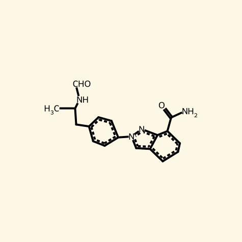 CC(Cc1ccc(-n2cc3cccc(C(N)=O)c3n2)cc1)NC=O